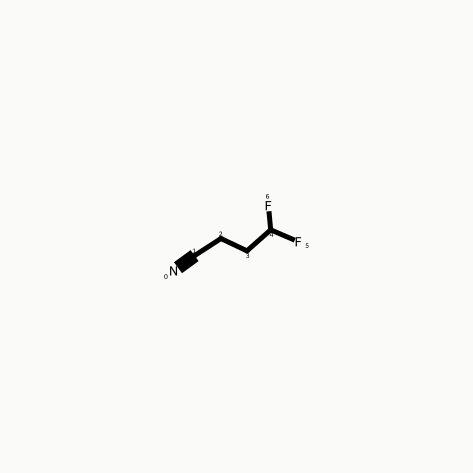 N#CCC[C](F)F